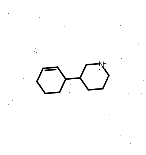 C1=CC(C2CCCNC2)CCC1